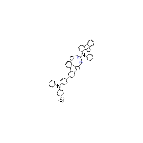 C=C1/C=C\C(N(c2ccccc2)c2cccc3c2oc2ccccc23)=C/COc2cccc3c2c1cc1ccc(-c2ccc(N(c4ccccc4)c4ccc([Si](C)(C)C)cc4)cc2)cc13